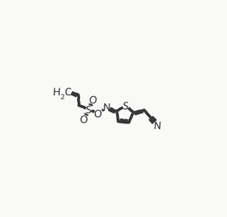 C=CCS(=O)(=O)O/N=C1C=C/C(=C\C#N)S\1